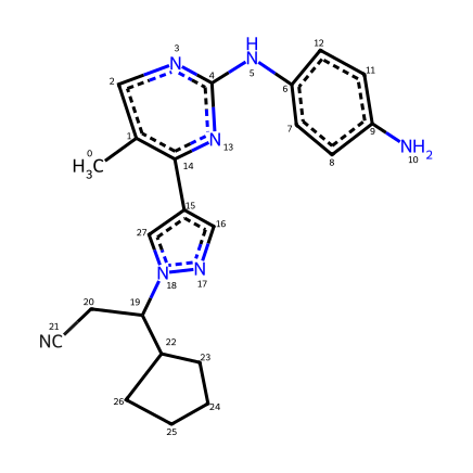 Cc1cnc(Nc2ccc(N)cc2)nc1-c1cnn(C(CC#N)C2CCCC2)c1